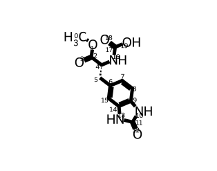 COC(=O)[C@@H](Cc1ccc2[nH]c(=O)[nH]c2c1)NC(=O)O